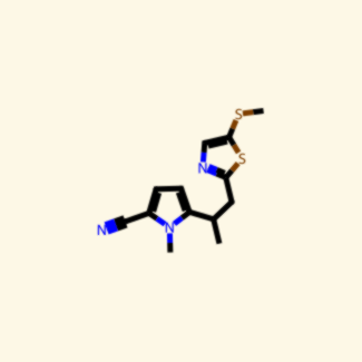 CSc1cnc(CC(C)c2ccc(C#N)n2C)s1